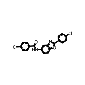 O=C(Nc1ccc2oc(-c3ccc(Cl)cc3)nc2c1)c1ccc(Cl)cc1